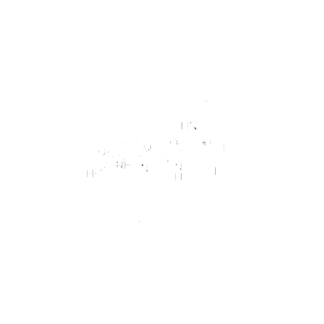 CC(F)(F)CCC(NC(=O)[C@@H]1CC(C2CCC2)CN1C(=O)[C@@H](NC(=O)O)C(C)(C)C)C(=O)C(=O)NC1CC1